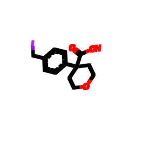 O=C(O)C1(c2ccc(CI)cc2)CCOCC1